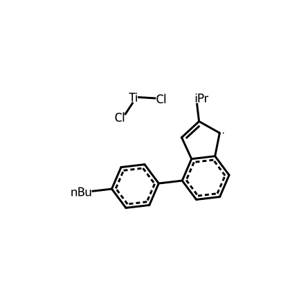 CCCCc1ccc(-c2cccc3c2C=C(C(C)C)[CH]3)cc1.[Cl][Ti][Cl]